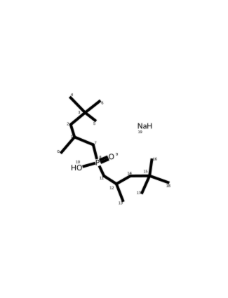 CC(CC(C)(C)C)CP(=O)(O)CC(C)CC(C)(C)C.[NaH]